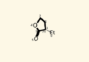 CC[C@H]1CCOC1=O